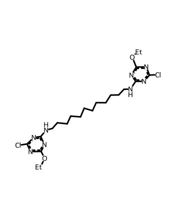 CCOc1nc(Cl)nc(NCCCCCCCCCCCCNc2nc(Cl)nc(OCC)n2)n1